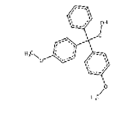 COc1ccc(C(OO)(c2ccccc2)c2ccc(OC)cc2)cc1